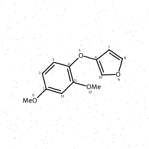 COc1ccc(Oc2c[c]oc2)c(OC)c1